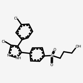 O=S(=O)(CCCO)c1ccc(-c2[nH]nc(Cl)c2-c2cccc(Cl)c2)cc1